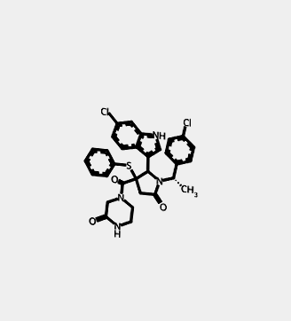 C[C@@H](c1ccc(Cl)cc1)N1C(=O)CC(Sc2ccccc2)(C(=O)N2CCNC(=O)C2)C1c1c[nH]c2cc(Cl)ccc12